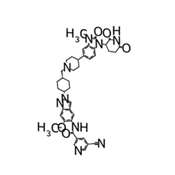 COc1cc2nn([C@H]3CC[C@H](CN4CCC(c5ccc6c(c5)n(C)c(=O)n6C5CCC(=O)NC5=O)CC4)CC3)cc2cc1NC(=O)c1cncc(C#N)c1